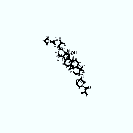 CC(C)C(=O)N1CCO[C@@H](O[C@H]2CC[C@]34CC35CC[C@]3(C)[C@@H]6[C@H](O[C@@H]([C@H](OC(=O)N7CCC7)C(C)C)C[C@H]6C)[C@H](O)[C@@]3(C)[C@@H]5CC[C@H]4C2(C)C)C1